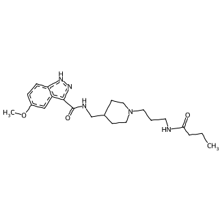 CCCC(=O)NCCCN1CCC(CNC(=O)c2n[nH]c3ccc(OC)cc23)CC1